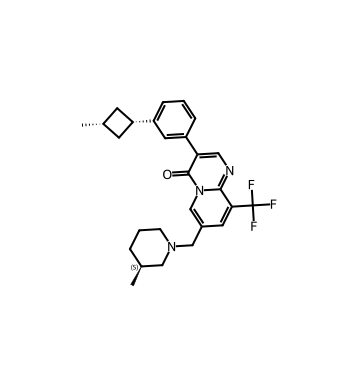 C[C@H]1CCCN(Cc2cc(C(F)(F)F)c3ncc(-c4cccc([C@H]5C[C@@H](C)C5)c4)c(=O)n3c2)C1